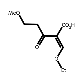 CCOC=C(C(=O)O)C(=O)CCOC